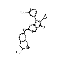 CC1Cc2ccc(Nc3ncc4c(=O)n(C5CC5)n(-c5ccnc(C(C)(C)C)c5)c4n3)cc2CN1